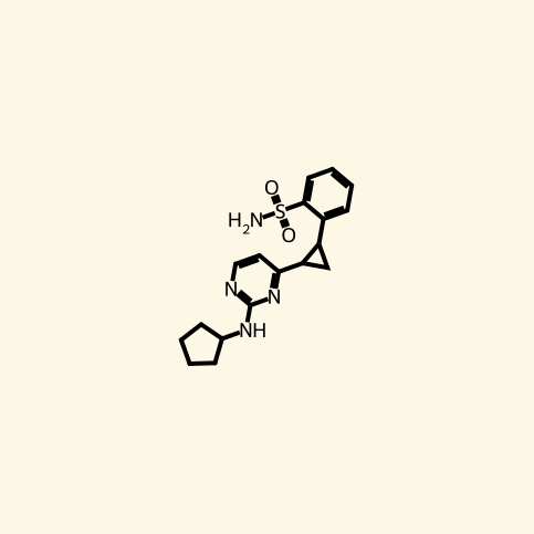 NS(=O)(=O)c1ccccc1C1CC1c1ccnc(NC2CCCC2)n1